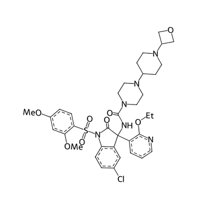 CCOc1ncccc1C1(NC(=O)N2CCN(C3CCN(C4COC4)CC3)CC2)C(=O)N(S(=O)(=O)c2ccc(OC)cc2OC)c2ccc(Cl)cc21